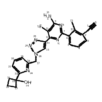 C#Cc1cccc(-c2nc(N)c(F)c(-c3cn(Cc4cccc(C5(O)CCC5)n4)nn3)n2)c1C